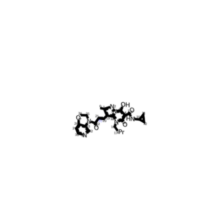 Cc1nn2c(O)c(C(=O)NC3CC3)c(=O)n(CC(C)C)c2c1/C=C/C(=O)N1CCOc2ccncc21